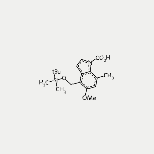 COc1cc(C)c2c(ccn2C(=O)O)c1CO[Si](C)(C)C(C)(C)C